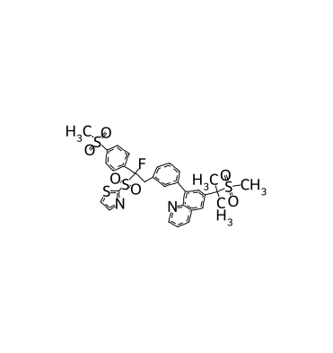 CC(C)(c1cc(-c2cccc(CC(F)(c3ccc(S(C)(=O)=O)cc3)S(=O)(=O)c3nccs3)c2)c2ncccc2c1)S(C)(=O)=O